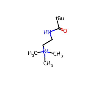 CC(C)(C)C(=O)NCC[N+](C)(C)C